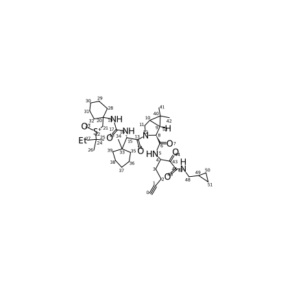 C#CCCC(NC(=O)[C@@H]1[C@@H]2C(CN1C(=O)[C@@H](NC(=O)NC1(C[S+]([O-])C(C)(C)CC)CCCCC1)C1(C)CCCCC1)C2(C)C)C(=O)C(=O)NCC1CC1